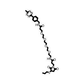 CCCSC1CC(=O)N(CCC(=O)NCCOCCOCCOCCOCCC(=O)NCc2ccc(-c3nnc(C)nn3)cc2)C1=O